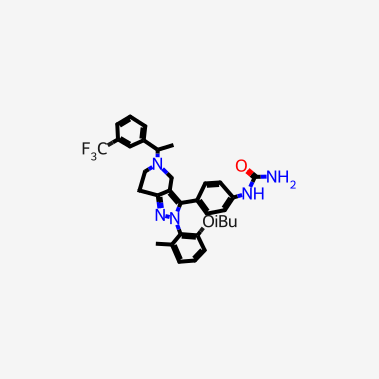 Cc1cccc(OCC(C)C)c1-n1nc2c(c1-c1ccc(NC(N)=O)cc1)CN(C(C)c1cccc(C(F)(F)F)c1)CC2